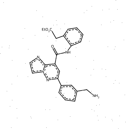 CCOC(=O)Cc1ccccc1NC(=O)c1cc(-c2cccc(CN)c2)nn2ccnc12